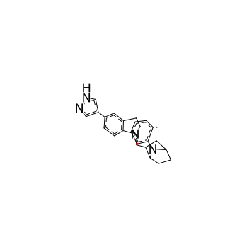 [c]1ccccc1N1C2CCC1C(CN1CCc3cc(-c4cn[nH]c4)ccc31)C2